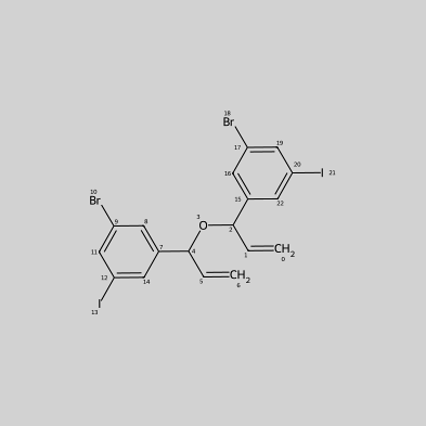 C=CC(OC(C=C)c1cc(Br)cc(I)c1)c1cc(Br)cc(I)c1